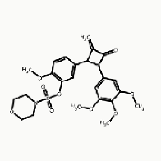 C=C1C(=O)N(c2cc(OC)c(OC)c(OC)c2)C1c1ccc(OC)c(OS(=O)(=O)N2CCOCC2)c1